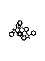 c1ccc(-c2nc3ccccc3n2-c2cccc(-c3c(-n4c(-c5ccccc5)nc5ccccc54)cccc3-n3c(-c4ccccc4)nc4ccccc43)c2)cc1